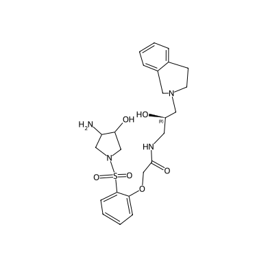 NC1CN(S(=O)(=O)c2ccccc2OCC(=O)NC[C@@H](O)CN2CCc3ccccc3C2)CC1O